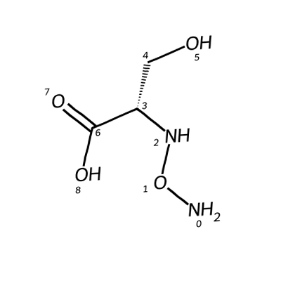 NON[C@@H](CO)C(=O)O